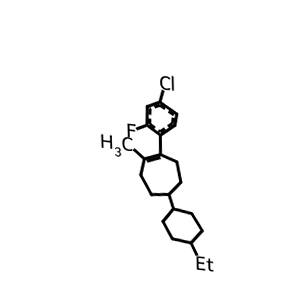 CCC1CCC(C2CCC(C)=C(c3ccc(Cl)cc3F)CC2)CC1